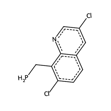 PCc1c(Cl)ccc2cc(Cl)cnc12